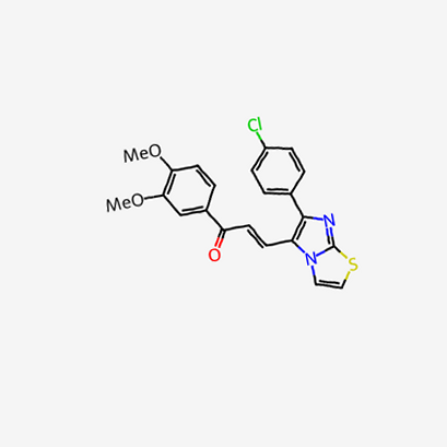 COc1ccc(C(=O)C=Cc2c(-c3ccc(Cl)cc3)nc3sccn23)cc1OC